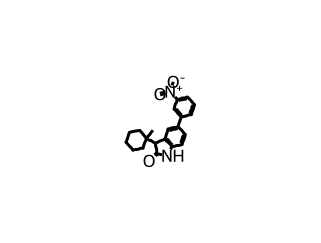 CC1(C2C(=O)Nc3ccc(-c4cccc([N+](=O)[O-])c4)cc32)CCCCC1